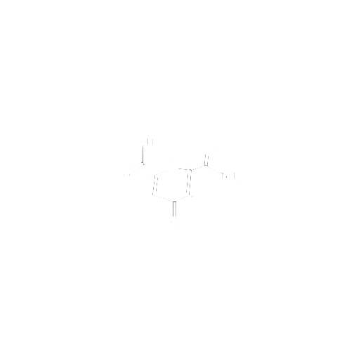 NC(=O)c1cc(=O)cc(C(=O)O)o1